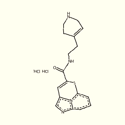 Cl.Cl.O=C(NCCC1=CCNCC1)C1=Cc2cnc3cccc(n23)S1